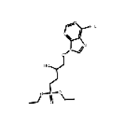 CCOP(=O)(CCC(O)COn1cnc2c(N)ncnc21)OCC